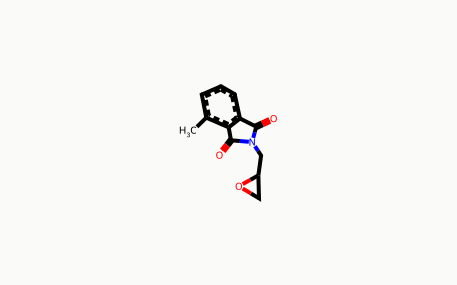 Cc1cccc2c1C(=O)N(CC1CO1)C2=O